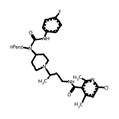 CCCCCN(C(=O)Nc1ccc(F)cc1)C1CCN([C@H](C)CCNC(=O)c2c(C)cc(Cl)nc2C)CC1